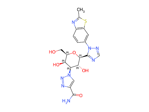 Cc1nc2ccc(-n3ncnc3[C@@H]3O[C@H](CO)[C@H](O)[C@H](n4cc(C(N)=O)nn4)[C@H]3O)cc2s1